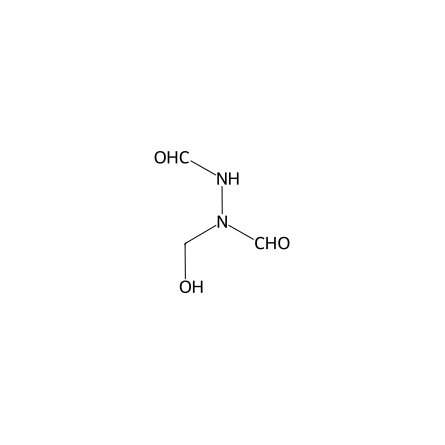 O=CNN(C=O)CO